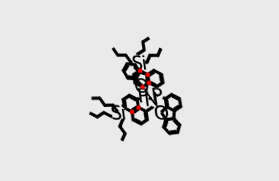 CCCC[Si](CCCC)(CCCC)c1ccc(P(c2ccc([Si](CCCC)(CCCC)CCCC)cc2)N(Cc2ccccc2)P(c2cccc3c2oc2ccccc23)c2cccc3c2oc2ccccc23)cc1